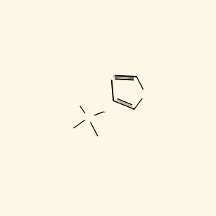 F[B-](F)(F)F.c1cscn1